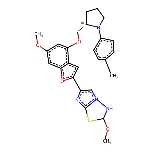 COc1cc(OC[C@@H]2CCCN2c2ccc(C)cc2)c2cc(-c3cn4c(n3)SC(OC)N4)oc2c1